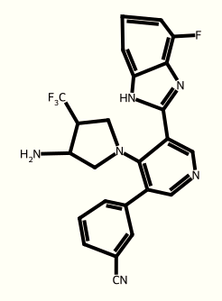 N#Cc1cccc(-c2cncc(-c3nc4c(F)cccc4[nH]3)c2N2CC(N)C(C(F)(F)F)C2)c1